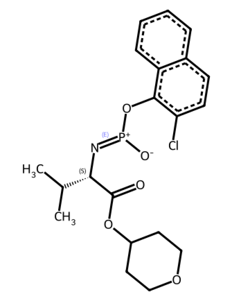 CC(C)[C@H](/N=[P+](\[O-])Oc1c(Cl)ccc2ccccc12)C(=O)OC1CCOCC1